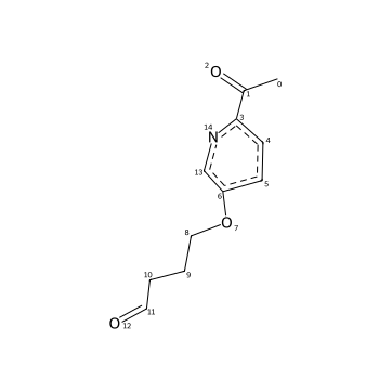 CC(=O)c1ccc(OCCCC=O)cn1